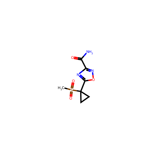 CS(=O)(=O)C1(c2nc(C(N)=O)no2)CC1